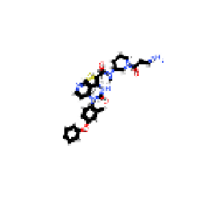 Cc1cc(Oc2ccccc2)ccc1N1C(=O)Nc2c(C(=O)N(C)C3CCCN(C(=O)CCN)C3)sc3nccc1c23